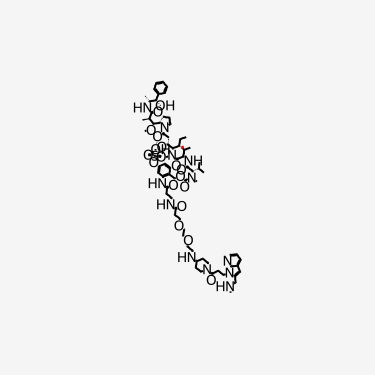 CC[C@H](C)[C@@H]([C@@H](CC(=O)N1CCC[C@H]1[C@H](OC)[C@@H](C)C(=O)N[C@H](C)[C@@H](O)c1ccccc1)OC)N(C)C(=O)[C@@H](NC(=O)[C@H](C(C)C)N(C)C(=O)OCc1ccc(OS(=O)(=O)O)cc1NC(=O)CCNC(=O)CCOCCOCCNC1CCN(C(=O)CCn2c(CNC)cc3cccnc32)CC1)C(C)C